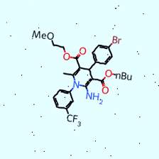 CCCCOC(=O)C1=C(N)N(c2cccc(C(F)(F)F)c2)C(C)=C(C(=O)OCCOC)C1c1ccc(Br)cc1